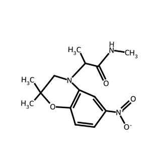 CNC(=O)C(C)N1CC(C)(C)Oc2ccc([N+](=O)[O-])cc21